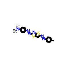 CCN(CC)c1ccc(N=NC2=NC3SC(N=Nc4ccc(C)cc4)=CC3S2)cc1